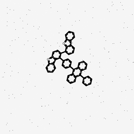 c1ccc(-c2c3ccccc3c(-c3ccc(-c4c(-c5cccc6c5oc5ccccc56)ccc5oc6ccccc6c45)cc3)c3ccccc23)cc1